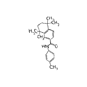 Cc1ccc(NC(=O)c2ccc3c(c2)C(C)(C)CCC3(C)C)cc1